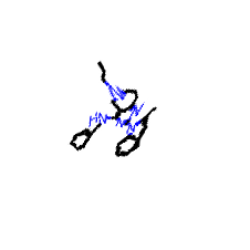 CCCN1CCc2nc(-n3c(C)cc4ccccc43)nc(NCc3ccccc3)c2C1